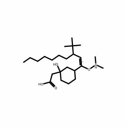 CCCCCCCC(/C=C(/O[SiH](C)C)C1CCCC(O)(CC(=O)O)C1)C(C)(C)C